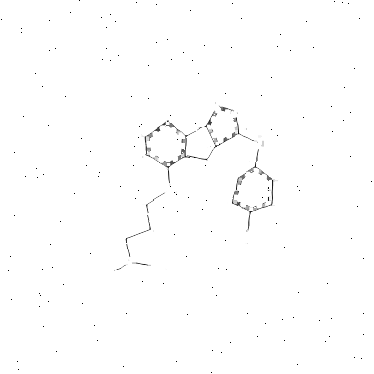 CN(C)CCCOc1cccc2c1Cc1c-2n[nH]c1Nc1ccc(F)cc1